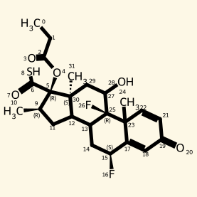 CCC(=O)O[C@]1(C(=O)S)[C@H](C)CC2C3C[C@H](F)C4=CC(=O)C=CC4(C)[C@@]3(F)C(O)C[C@@]21C